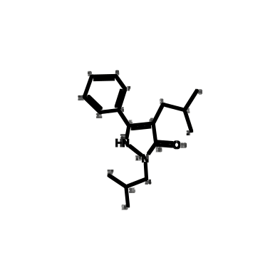 CC(C)Cc1c(-c2ccccc2)[nH]n(CC(C)C)c1=O